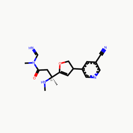 CN[C@@](C)(CC(=O)N(C)C=N)C1=CC(c2cncc(C#N)c2)CO1